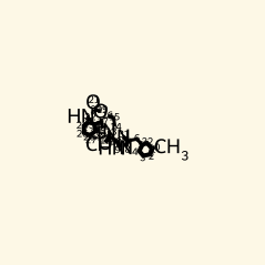 Cc1cccc(Cc2n[nH]c(C(=O)N3CCC[C@@]4(C3)OC(=O)Nc3ccc(Cl)c(F)c34)n2)c1